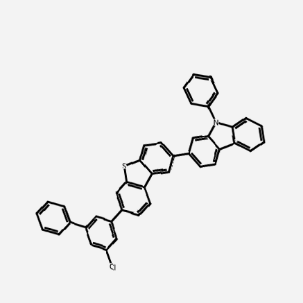 Clc1cc(-c2ccccc2)cc(-c2ccc3c(c2)sc2ccc(-c4ccc5c6ccccc6n(-c6ccccc6)c5c4)cc23)c1